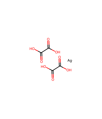 O=C(O)C(=O)O.O=C(O)C(=O)O.[Ag]